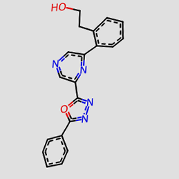 OCCc1ccccc1-c1cncc(-c2nnc(-c3ccccc3)o2)n1